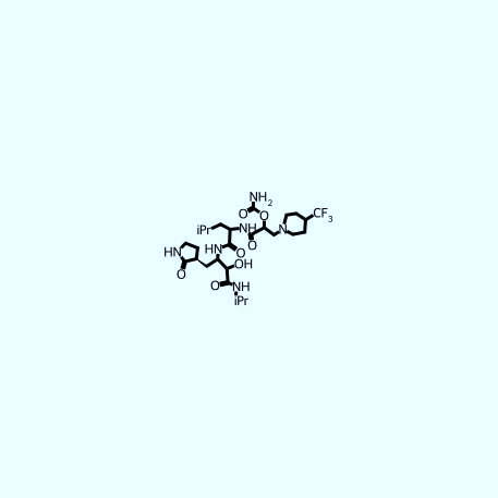 CC(C)CC(NC(=O)C(CN1CCC(C(F)(F)F)CC1)OC(N)=O)C(=O)NC(C[C@@H]1CCNC1=O)C(O)C(=O)NC(C)C